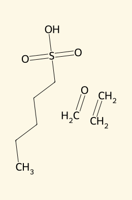 C=C.C=O.CCCCCS(=O)(=O)O